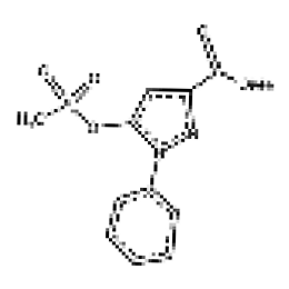 COC(=O)c1cc(OS(C)(=O)=O)n(-c2ccccc2)n1